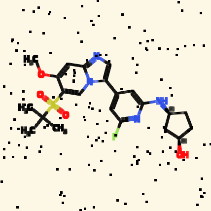 COc1cc2ncc(-c3cc(F)nc(N[C@H]4CC[C@@H](O)C4)c3)n2cc1S(=O)(=O)C(C)(C)C